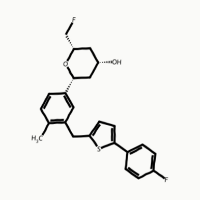 Cc1ccc([C@H]2C[C@@H](O)C[C@@H](CF)O2)cc1Cc1ccc(-c2ccc(F)cc2)s1